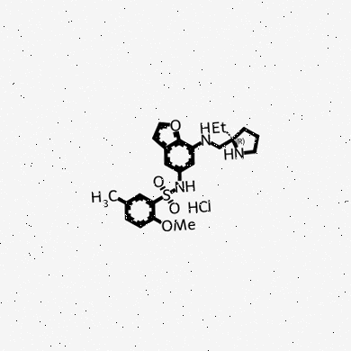 CC[C@]1(CNc2cc(NS(=O)(=O)c3cc(C)ccc3OC)cc3ccoc23)CCCN1.Cl